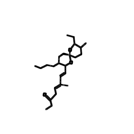 CCCCC1CC[C@@]2(CCC(C)C(CC)O2)OC1/C=C/C(C)=C/CC(=O)CC